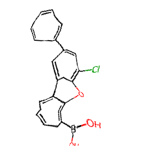 OB(O)c1cccc2c1oc1c(Cl)cc(-c3ccccc3)cc12